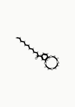 CCCCCCCCCCC(=O)c1ccc2c(c1)OCCOCCOCCO2